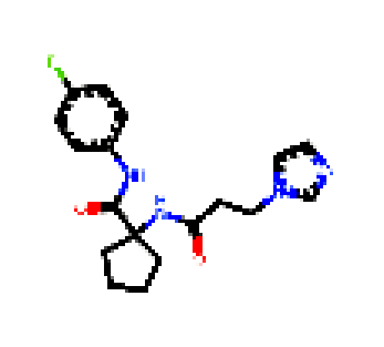 O=C(CCn1ccnc1)NC1(C(=O)Nc2ccc(F)cc2)CCCC1